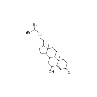 CCC(/C=C/CC1CCC2C3CC(O)C4=CC(=O)CCC4(C)C3CCC12C)C(C)C